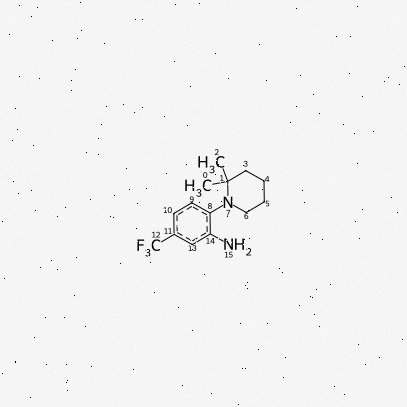 CC1(C)CCCCN1c1ccc(C(F)(F)F)cc1N